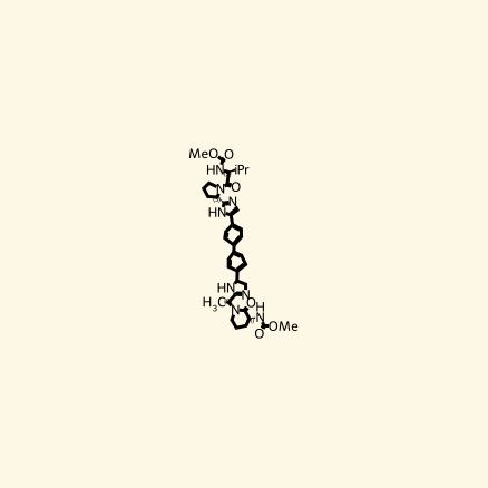 COC(=O)N[C@H](C(=O)N1CCC[C@H]1c1ncc(-c2ccc(-c3ccc(C4CN=C([C@H](C)N5CCC[C@@H](NC(=O)OC)C5=O)N4)cc3)cc2)[nH]1)C(C)C